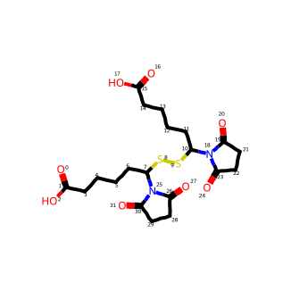 O=C(O)CCCCC(SSC(CCCCC(=O)O)N1C(=O)CCC1=O)N1C(=O)CCC1=O